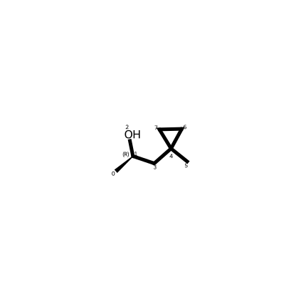 C[C@@H](O)CC1(C)CC1